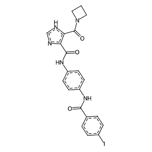 O=C(Nc1ccc(NC(=O)c2nc[nH]c2C(=O)N2CCC2)cc1)c1ccc(I)cc1